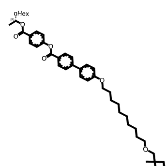 CCCCCC[C@@H](C)OC(=O)c1ccc(OC(=O)c2ccc(-c3ccc(OCCCCCCCCCCOCC4(C)COC4)cc3)cc2)cc1